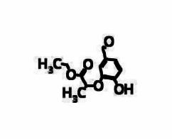 CCOC(=O)C(C)Oc1cc(C=O)ccc1O